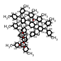 Cc1ccc(N(c2ccc(C)cc2)c2cc3c4c(c2)N(c2ccccc2)c2ccccc2B4c2cc4c(cc2N3)N(c2c(C)cc(C)cc2C)c2cc(N(c3ccc(C)cc3)c3ccc(C)cc3)cc3c2B4c2cc4c(cc2N3c2c(C)cc(C)cc2C)N(c2c(C)cc(C)cc2C)c2cc(N(c3ccc(C)cc3)c3ccc(C)cc3)cc3c2B4c2ccccc2O3)cc1